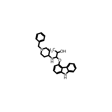 CC(O)C(NC1CCN(Cc2ccccc2)CC1)Oc1cccc2[nH]c3ccccc3c12